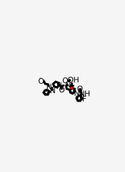 COCCCn1c([C@@H]2CCCN(C(=O)C[C@@H](Cc3ccc(-n4c(=O)[nH]c5c(F)cccc54)cc3)N(C(=O)O)C(C)(C)C)C2)nc2ccccc21